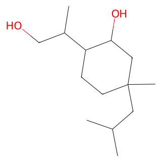 CC(C)CC1(C)CCC(C(C)CO)C(O)C1